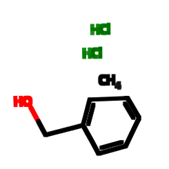 C.Cl.Cl.OCc1ccccc1